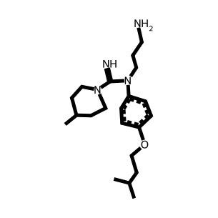 CC(C)CCOc1ccc(N(CCCN)C(=N)N2CCC(C)CC2)cc1